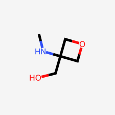 CNC1(CO)COC1